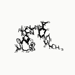 CCN1CCN(c2ccc(Nc3ncc(C(F)(F)F)c(-c4cc5c(s4)C(=O)N(C4CC4)CCS5(=O)=O)n3)c(C3CC3)c2)CC1